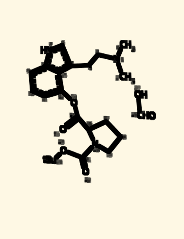 CN(C)CCc1c[nH]c2cccc(OC(=O)C3CCCN3C(=O)OC(C)(C)C)c12.O=CO